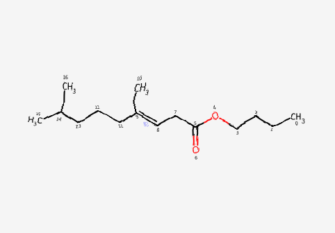 CCCCOC(=O)C/C=C(\C)CCCC(C)C